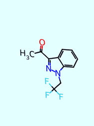 CC(=O)c1nn(CC(F)(F)F)c2ccccc12